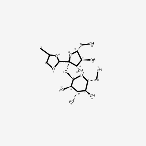 CC1COC([C@@]2(O[C@H]3O[C@H](CO)[C@@H](O)[C@H](O)[C@H]3O)O[C@H](CO)[C@@H](O)[C@@H]2O)O1